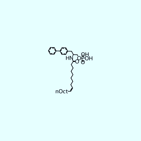 CCCCCCCC/C=C\CCCCCCCC(=O)NC(COP(=O)(O)O)Cc1ccc(-c2ccccc2)cc1